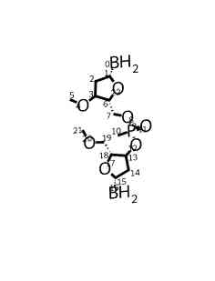 B[C@H]1CC(OC)[C@@H](COP(C)(=O)OC2C[C@H](B)O[C@@H]2COC)O1